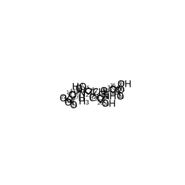 CC(C)(c1ccc(O)c(NC(=O)c2ccc3c(c2)C(=O)OC3=O)c1)c1ccc(O)c(NC(=O)c2ccc3c(c2)C(=O)OC3O)c1